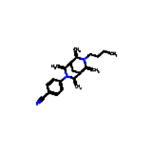 C=C1C2CC(C(=C)N1CCCC)C(=C)N(c1ccc(C#N)cc1)C2=C